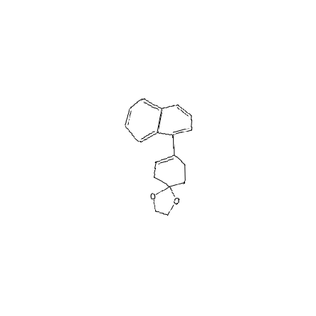 C1=C(c2cccc3ccccc23)CCC2(C1)OCCO2